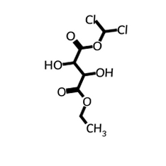 CCOC(=O)C(O)C(O)C(=O)OC(Cl)Cl